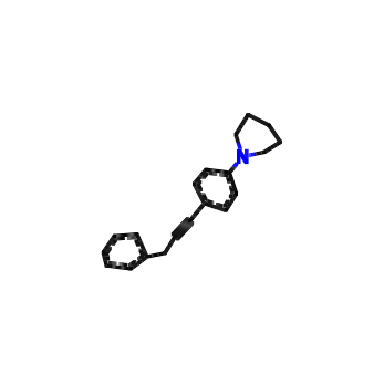 C(#Cc1ccc(N2CCCCC2)cc1)Cc1ccccc1